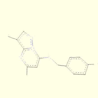 COc1ccc(CNc2cc(C)nc3c(C)cnn23)cc1